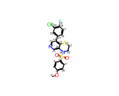 COc1ccc(S(=O)(=O)N2CCSc3c(-c4ccc(F)c(Cl)c4)cncc32)cc1